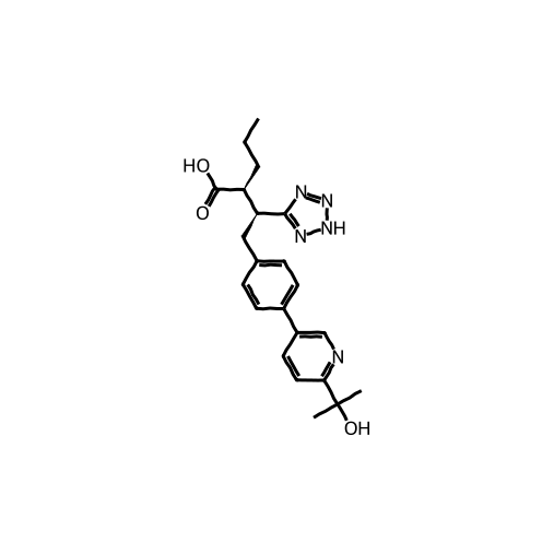 CCC[C@H](C(=O)O)[C@H](Cc1ccc(-c2ccc(C(C)(C)O)nc2)cc1)c1nn[nH]n1